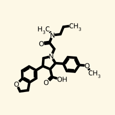 CCCN(C)C(=O)CN1CC(c2ccc3c(c2)CCO3)C(C(=O)O)C1c1ccc(OC)cc1